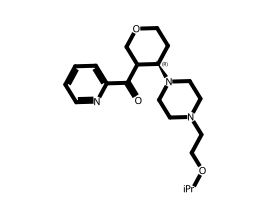 CC(C)OCCN1CCN([C@@H]2CCOCC2C(=O)c2ccccn2)CC1